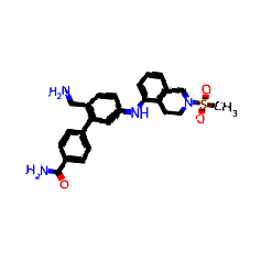 CS(=O)(=O)N1CCc2c(cccc2Nc2ccc(CN)c(-c3ccc(C(N)=O)cc3)c2)C1